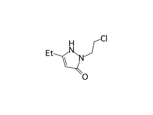 CCc1cc(=O)n(CCCl)[nH]1